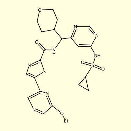 CCOc1cncc(-c2cnc(C(=O)NC(c3cc(NS(=O)(=O)C4CC4)ncn3)C3CCOCC3)s2)n1